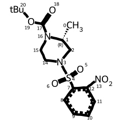 C[C@@H]1CN(S(=O)(=O)c2ccccc2[N+](=O)[O-])CCN1C(=O)OC(C)(C)C